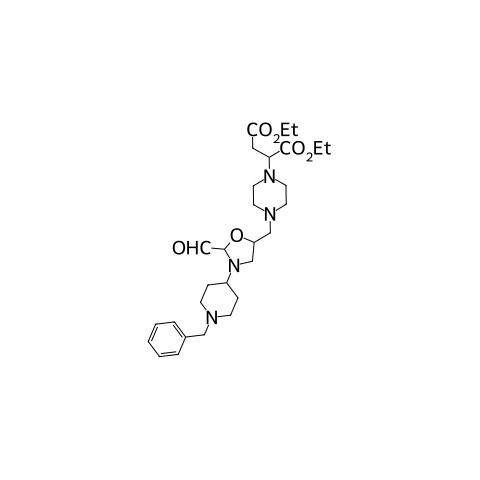 CCOC(=O)CC(C(=O)OCC)N1CCN(CC2CN(C3CCN(Cc4ccccc4)CC3)C(C=O)O2)CC1